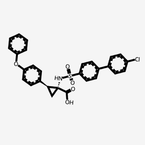 O=C(O)[C@@]1(NS(=O)(=O)c2ccc(-c3ccc(Cl)cc3)cc2)C[C@H]1c1ccc(Oc2ccccc2)cc1